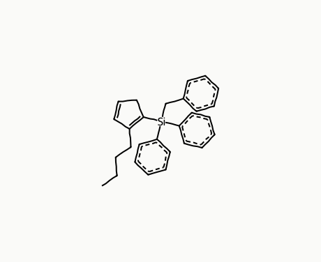 CCCCC1=C([Si](Cc2ccccc2)(c2ccccc2)c2ccccc2)CC=C1